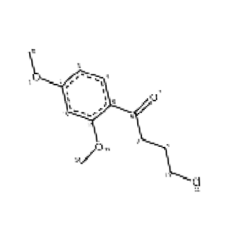 COc1ccc(C(=O)CCCCl)c(OC)c1